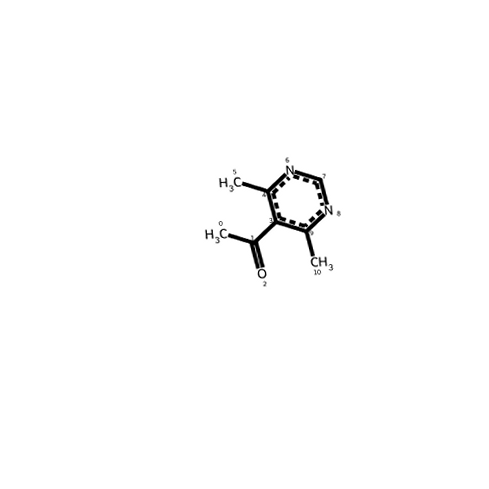 CC(=O)c1c(C)ncnc1C